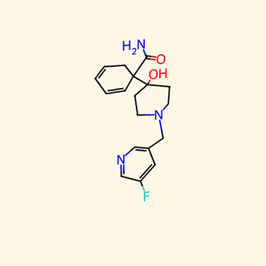 NC(=O)C1(C2(O)CCN(Cc3cncc(F)c3)CC2)C=CC=CC1